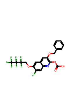 O=C(O)Oc1nc2cc(Cl)c(OCC(F)(F)C(F)(F)C(F)(F)F)cc2cc1OCc1ccccc1